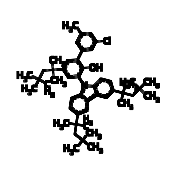 Cc1cc(Cl)cc(-c2cc(C(C)(C)CC(C)(C)C)cc(-n3c4ccc(C(C)(C)CC(C)(C)C)cc4c4cc(C(C)(C)CC(C)(C)C)ccc43)c2O)c1